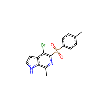 Cc1ccc(S(=O)(=O)c2nc(C)c3[nH]ccc3c2Br)cc1